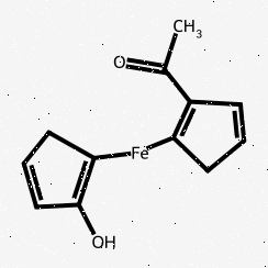 CC(=O)C1=[C]([Fe][C]2=C(O)C=CC2)CC=C1